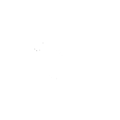 CCOC(=O)c1cc(S(=O)(=O)O)cc(C(=O)[O-])c1CC.[Na+]